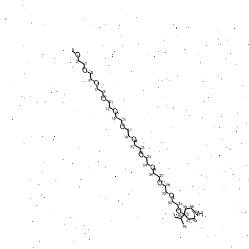 COCCOCCOCCOCCOCCOCCOCCOCCOCCOCCOCCOC1(C(C)C)CCNCC1